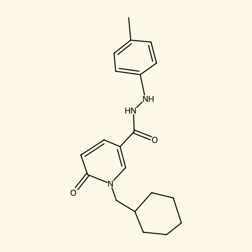 Cc1ccc(NNC(=O)c2ccc(=O)n(CC3CCCCC3)c2)cc1